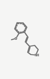 COc1ccccc1/C=C/C1=CCNCC1